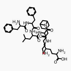 CC(C)CC(NC(=O)C(Cc1ccccc1)NC(=O)C(N)Cc1ccccc1)C(=O)NC(CCCCN)C(=O)N1C2CC1CN(CC(=O)NCC(C)CCC(N)C(=O)O)C2